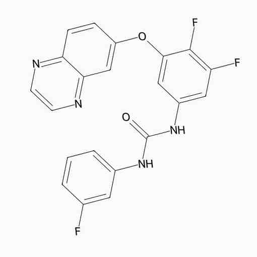 O=C(Nc1cccc(F)c1)Nc1cc(F)c(F)c(Oc2ccc3nccnc3c2)c1